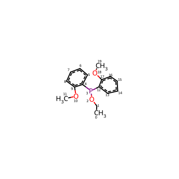 CCOP(c1ccccc1OC)c1ccccc1OC